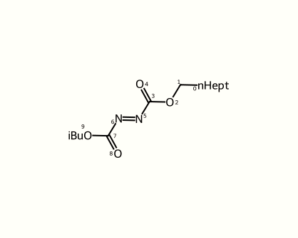 CCCCCCCCOC(=O)/N=N/C(=O)OCC(C)C